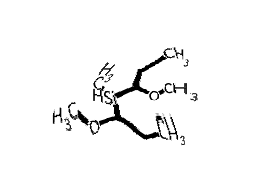 CCC(OC)[SiH](C)C(CC)OC